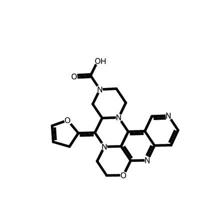 O=C(O)N1CCN2c3c4c(nc5ccncc35)OCCN4C(=C3CC=CO3)C2C1